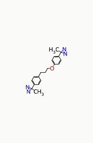 CC1(c2ccc(CCCOc3ccc(C4(C)N=N4)cc3)cc2)N=N1